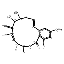 COc1cc(O)c2c(c1)/C=C/C[C@H](O)[C@H](O)C(=O)/C(F)=C\[C@@H](C)[C@H](C)OC2=O